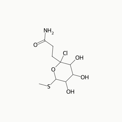 CSC1OC(Cl)(CCC(N)=O)C(O)C(O)C1O